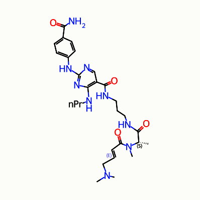 CCCNc1nc(Nc2ccc(C(N)=O)cc2)ncc1C(=O)NCCCNC(=O)[C@H](C)N(C)C(=O)/C=C/CN(C)C